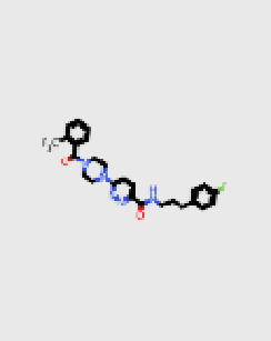 O=C(NCCCc1ccc(F)cc1)c1ccc(N2CCN(C(=O)c3ccccc3C(F)(F)F)CC2)nn1